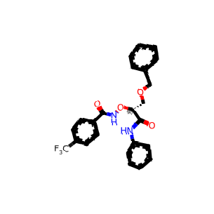 O=C(NO[C@H](COCc1ccccc1)C(=O)Nc1ccccc1)c1ccc(C(F)(F)F)cc1